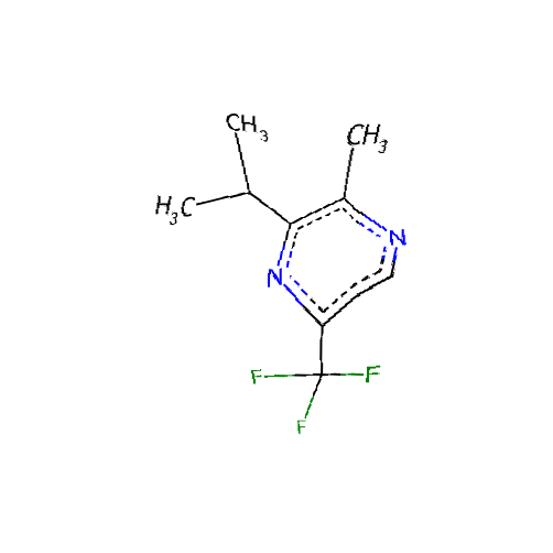 Cc1ncc(C(F)(F)F)nc1C(C)C